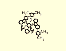 Cc1ccc(-c2ccc3c4ccccc4n(-c4cc(-c5c(C(F)(F)F)cccc5C(F)(F)F)cc(-n5c6ccccc6c6ccc(-c7ccc(C)cc7C)cc65)c4C#N)c3c2)c(C)c1